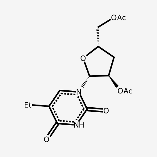 CCc1cn([C@@H]2O[C@H](COC(C)=O)C[C@H]2OC(C)=O)c(=O)[nH]c1=O